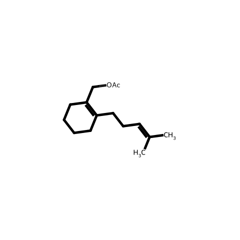 CC(=O)OCC1=C(CCC=C(C)C)CCCC1